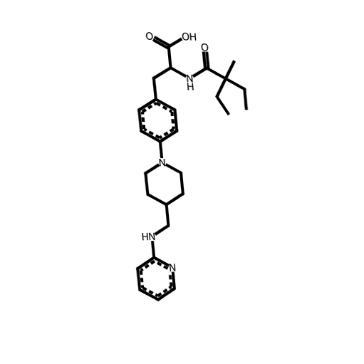 CCC(C)(CC)C(=O)NC(Cc1ccc(N2CCC(CNc3ccccn3)CC2)cc1)C(=O)O